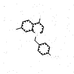 COc1ccc(C[n+]2ccc(I)c3ccc(Cl)cc32)cc1.[I-]